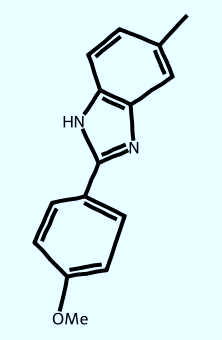 COc1ccc(-c2nc3cc(C)ccc3[nH]2)cc1